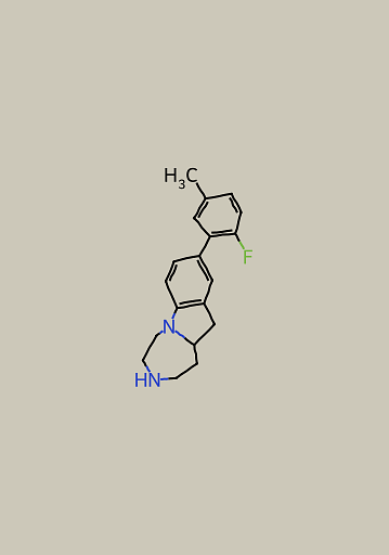 Cc1ccc(F)c(-c2ccc3c(c2)CC2CCNCCN32)c1